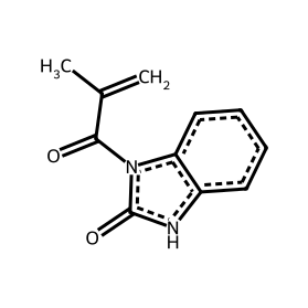 C=C(C)C(=O)n1c(=O)[nH]c2ccccc21